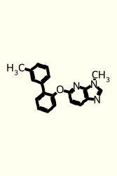 Cc1cccc(-c2ccccc2Oc2ccc3ncn(C)c3n2)c1